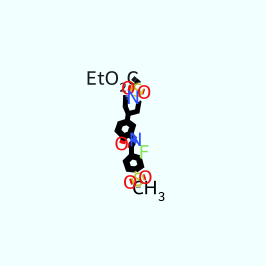 CCOC(=O)CS(=O)(=O)N1CCC(c2ccc3oc(-c4ccc(S(C)(=O)=O)cc4F)nc3c2)CC1